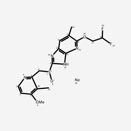 COc1ccnc(C[S+]([O-])c2nc3cc(C)c(OCC(F)F)nc3[nH]2)c1C.[Na]